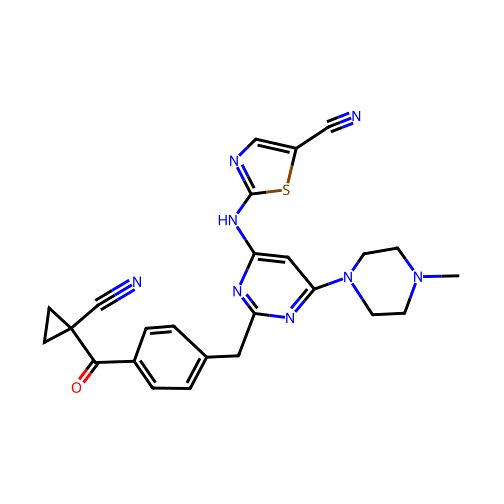 CN1CCN(c2cc(Nc3ncc(C#N)s3)nc(Cc3ccc(C(=O)C4(C#N)CC4)cc3)n2)CC1